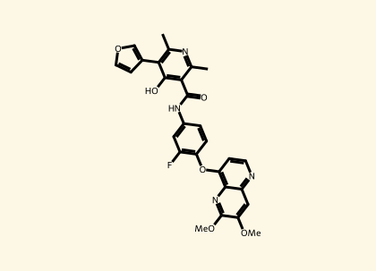 COc1cc2nccc(Oc3ccc(NC(=O)c4c(C)nc(C)c(-c5ccoc5)c4O)cc3F)c2nc1OC